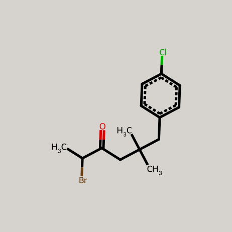 CC(Br)C(=O)CC(C)(C)Cc1ccc(Cl)cc1